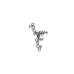 COC(=O)C1=CC2(NC(=O)COc3ccc(Cl)c(F)c3)CCC1(NC(=O)COc1ccc(Cl)c(F)c1)CC2